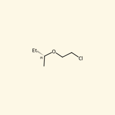 CC[C@@H](C)OCCCl